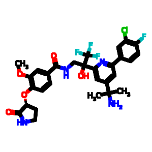 COc1cc(C(=O)NCC(O)(c2cc(C(C)(C)N)cc(-c3ccc(F)c(Cl)c3)n2)C(F)(F)F)ccc1O[C@@H]1CCNC1=O